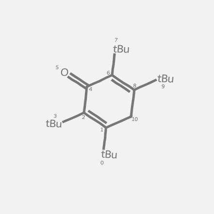 CC(C)(C)C1=C(C(C)(C)C)C(=O)C(C(C)(C)C)=C(C(C)(C)C)C1